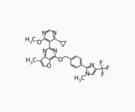 COc1ncnc(C2CC2)c1-c1nc(OCc2ccc(-c3nc(C(F)(F)F)cn3C)cc2)c2occ(C)c2n1